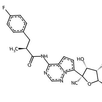 C[C@@H](Cc1ccc(F)cc1)C(=O)Nc1ncnn2c([C@]3(C#N)O[C@H](CO)[C@@H](O)[C@H]3O)ccc12